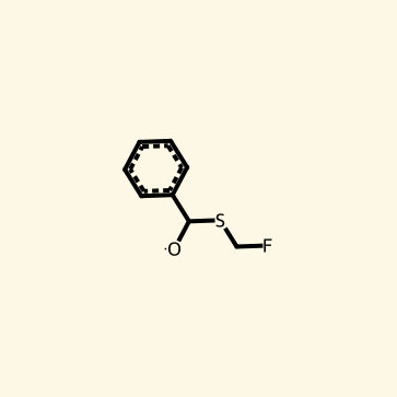 [O]C(SCF)c1ccccc1